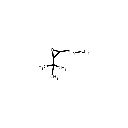 CNCC1OC1C(C)(C)C